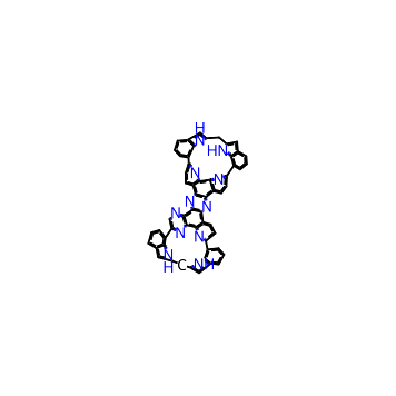 c1cc2c3[nH]c(cc3c1)Cc1cc3cccc(c3[nH]1)-c1ccc3c(n1)c1nc-2ccc1c1nc2c4ccc5nc4c4nc(cnc4c2nc31)-c1cccc2cc([nH]c12)Cc1cc2cccc-5c2[nH]1